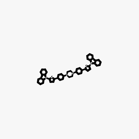 c1ccc2c(c1)c1ccccc1n2-c1ccc(-c2ccc(N3CCN(c4ccc(-c5ccc(-n6c7ccccc7c7ccccc76)s5)cc4)CC3)cc2)s1